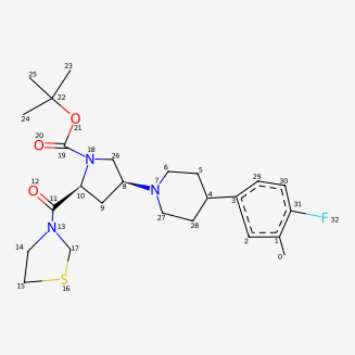 Cc1cc(C2CCN([C@H]3C[C@@H](C(=O)N4CCSC4)N(C(=O)OC(C)(C)C)C3)CC2)ccc1F